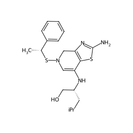 CC(C)C[C@H](CO)NC1=CN(S[C@H](C)c2ccccc2)Cc2nc(N)sc21